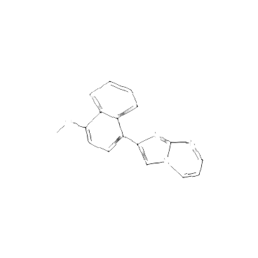 COc1ccc(-c2cn3cccnc3n2)c2ccccc12